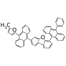 Cc1ccc(-c2c3ccccc3c(-c3ccc4c(c3)oc3c(-c5c6ccccc6c(-c6ccccc6)c6ccccc56)cccc34)c3ccccc23)o1